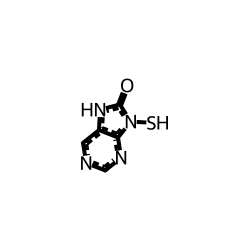 O=c1[nH]c2cncnc2n1S